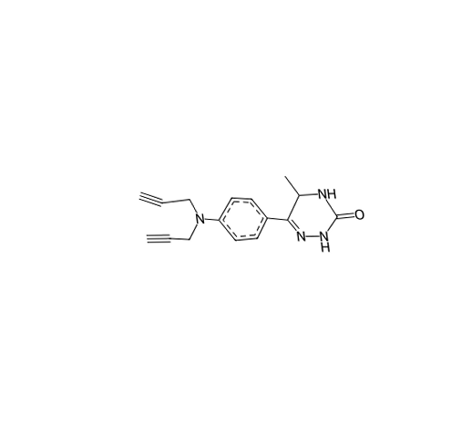 C#CCN(CC#C)c1ccc(C2=NNC(=O)NC2C)cc1